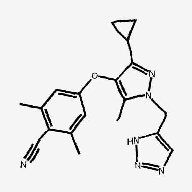 Cc1cc(Oc2c(C3CC3)nn(Cc3cnn[nH]3)c2C)cc(C)c1C#N